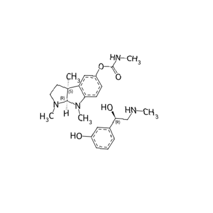 CNC(=O)Oc1ccc2c(c1)[C@]1(C)CCN(C)[C@@H]1N2C.CNC[C@H](O)c1cccc(O)c1